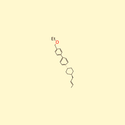 C/C=C/C[C@H]1CC[C@H](c2ccc(-c3ccc(COCC)cc3)cc2)CC1